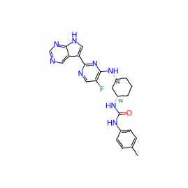 Cc1ccc(NC(=O)N[C@H]2CCC[C@@H](Nc3nc(-c4c[nH]c5ncncc45)ncc3F)C2)cc1